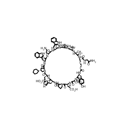 CCCC[C@H]1C(=O)N(C)[C@@H](CCCC)C(=O)N[C@@H](C)C(=O)N[C@H](C(=O)NCC(N)=O)CSCC(=O)N[C@@H](Cc2ccc(O)cc2)C(=O)N(C)[C@@H](C)C(=O)N[C@@H](CCC(=O)O)C(=O)N2CCC[C@H]2C(=O)N[C@@H](Cc2c[nH]cn2)C(=O)N[C@@H](CCC(=O)O)C(=O)N2C[C@H](C3CCCCC3)C[C@H]2C(=O)N[C@@H](Cc2c[nH]c3ccccc23)C(=O)N[C@@H](CCN)C(=O)N[C@@H](Cc2c[nH]c3ccccc23)C(=O)N1C